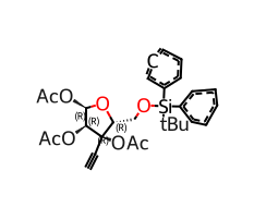 C#C[C@@]1(OC(C)=O)[C@@H](CO[Si](c2ccccc2)(c2ccccc2)C(C)(C)C)O[C@H](OC(C)=O)[C@@H]1OC(C)=O